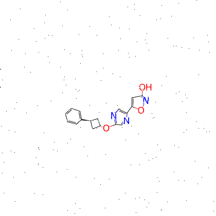 Oc1cc(-c2cnc(O[C@H]3C[C@H](c4ccccc4)C3)cn2)on1